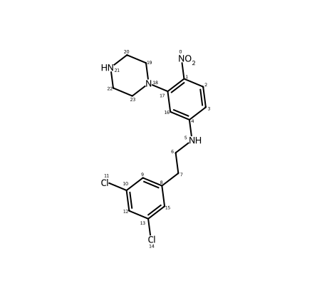 O=[N+]([O-])c1ccc(NCCc2cc(Cl)cc(Cl)c2)cc1N1CCNCC1